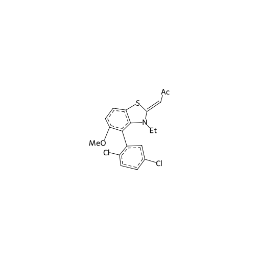 CCN1/C(=C/C(C)=O)Sc2ccc(OC)c(-c3cc(Cl)ccc3Cl)c21